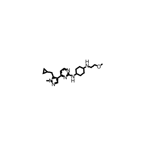 COCCNC1CCC(Nc2nccc(-c3cnn(C)c3CC3CC3)n2)CC1